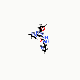 Cc1cc(C)n(-c2cc(NC(=O)NCCC3CCCN3C)nc(-c3ccc(C)o3)n2)n1